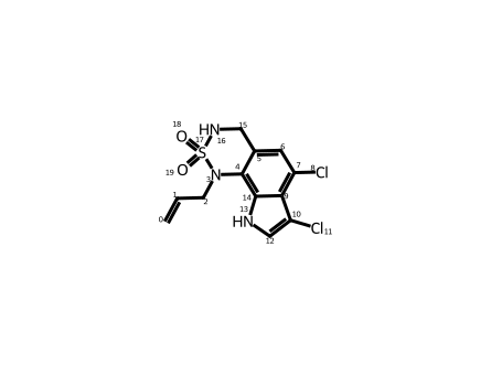 C=CCN1c2c(cc(Cl)c3c(Cl)c[nH]c23)CNS1(=O)=O